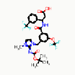 Cn1ccn(Cc2cc(OC(F)(F)F)cc(C(=O)NC(CC(=O)O)c3cccc(C(F)(F)F)c3)c2)c1=NC(=O)OC(C)(C)C